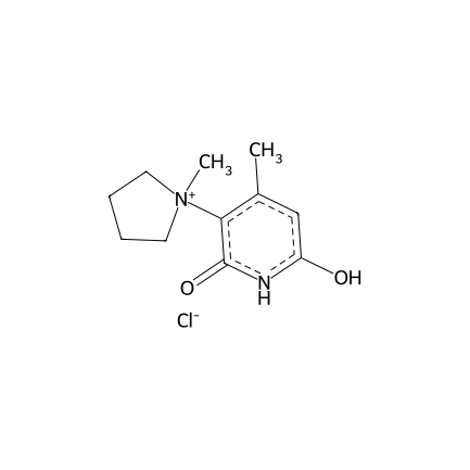 Cc1cc(O)[nH]c(=O)c1[N+]1(C)CCCC1.[Cl-]